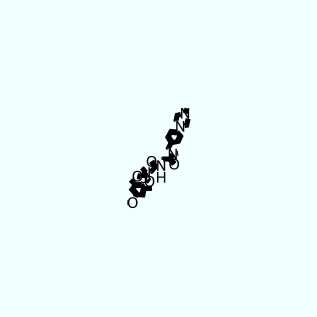 COc1cc(C)c(S(=O)(=O)N(C)CC(=O)NCC(=O)N(C)Cc2ccc(N3CCN(C)CC3)cc2)c(C)c1